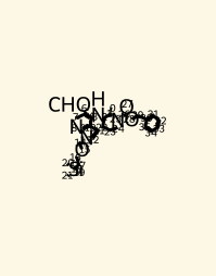 C[C@@H]1[C@H](Nc2c(C=O)cnc3c2ccn3COCC[Si](C)(C)C)CCCN1C(=O)OCc1ccccc1